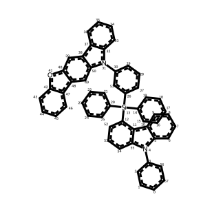 c1ccc(-n2c3ccccc3c3c([Si](c4ccccc4)(c4ccccc4)c4cccc(-n5c6ccccc6c6cc7oc8ccccc8c7cc65)c4)cccc32)cc1